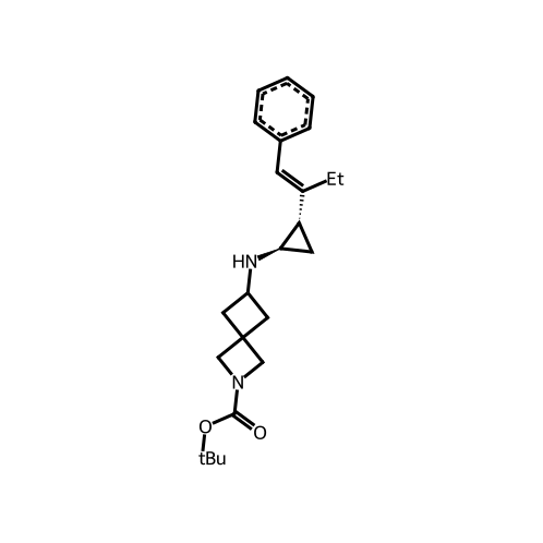 CCC(=Cc1ccccc1)[C@@H]1C[C@H]1NC1CC2(C1)CN(C(=O)OC(C)(C)C)C2